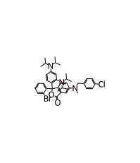 CC(C)N(c1ccc(C2(c3ccccc3Br)OC(=O)c3cc(N(C)Cc4ccc(Cl)cc4)ccc32)c(N(C(C)C)C(C)C)c1)C(C)C